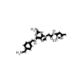 CCn1nc(C)cc1NC(=O)Cn1cnc2c(NCc3ccc(CN)cc3)nc(N)nc21